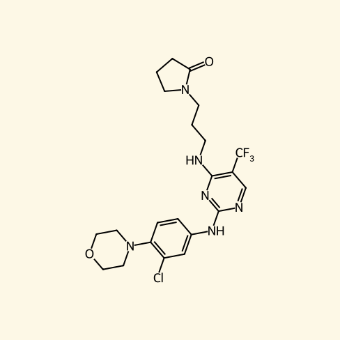 O=C1CCCN1CCCNc1nc(Nc2ccc(N3CCOCC3)c(Cl)c2)ncc1C(F)(F)F